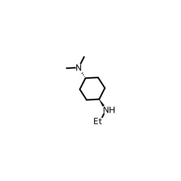 CCN[C@H]1CC[C@H](N(C)C)CC1